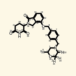 [2H]C1CN(Cc2ccc(COc3cccc4c3CN(C3CCC(=O)NC3=O)C4=O)cc2)C([2H])C([2H])([2H])O1